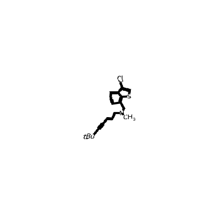 CN(CC=CC#CC(C)(C)C)Cc1cccc2c(Cl)csc12